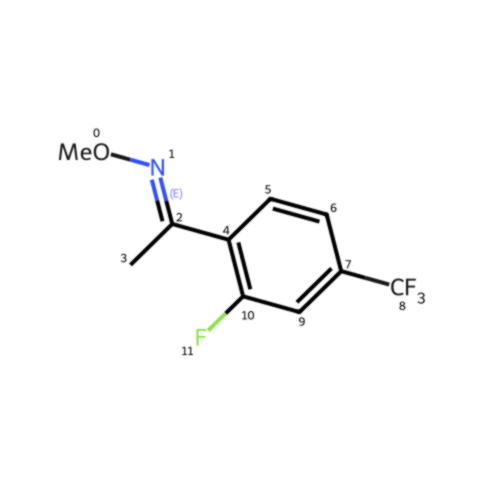 CO/N=C(\C)c1ccc(C(F)(F)F)cc1F